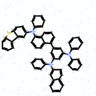 c1ccc(N(c2ccccc2)c2cc(-c3cccc4c(N(c5ccccc5)c5ccc6sc7ccccc7c6c5)cccc34)cc(N(c3ccccc3)c3ccc4ccccc4c3)c2)cc1